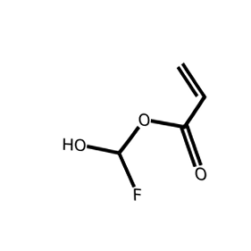 C=CC(=O)OC(O)F